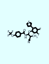 CC(C#N)C(NC(=O)c1ccc(OC(F)(F)F)cc1)Oc1cc(F)c(F)cc1-c1ccsc1